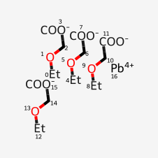 CCOCC(=O)[O-].CCOCC(=O)[O-].CCOCC(=O)[O-].CCOCC(=O)[O-].[Pb+4]